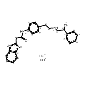 Cl.Cl.O=C(Cc1nc2ccccc2s1)Nc1ccc(CCNCC(O)c2ccccc2)cc1